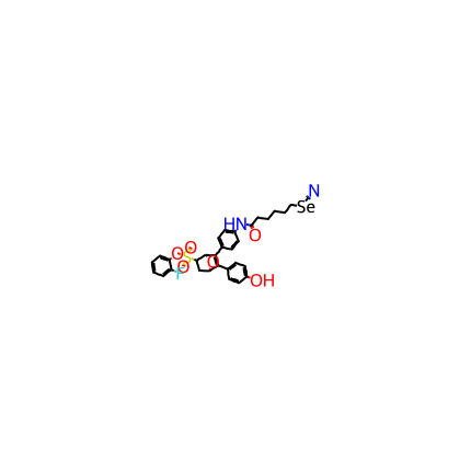 N#C[Se]CCCCCC(=O)Nc1ccc(C2=C(c3ccc(O)cc3)C3CC(S(=O)(=O)Oc4ccccc4F)C2O3)cc1